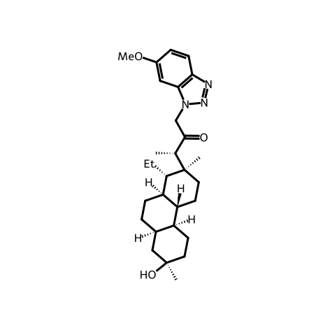 CC[C@H]1[C@@H]2CC[C@@H]3C[C@](C)(O)CC[C@@H]3[C@H]2CC[C@]1(C)[C@H](C)C(=O)Cn1nnc2ccc(OC)cc21